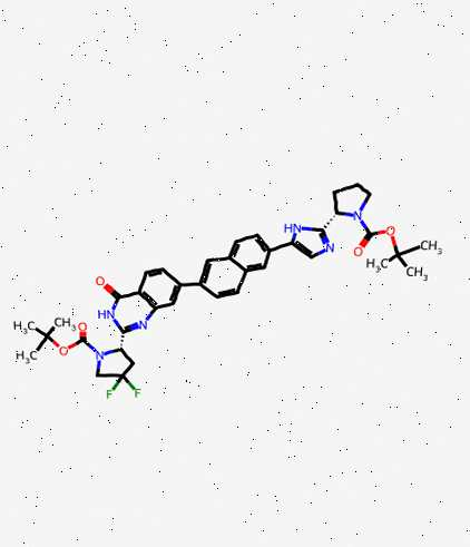 CC(C)(C)OC(=O)N1CCC[C@H]1c1ncc(-c2ccc3cc(-c4ccc5c(=O)[nH]c([C@@H]6CC(F)(F)CN6C(=O)OC(C)(C)C)nc5c4)ccc3c2)[nH]1